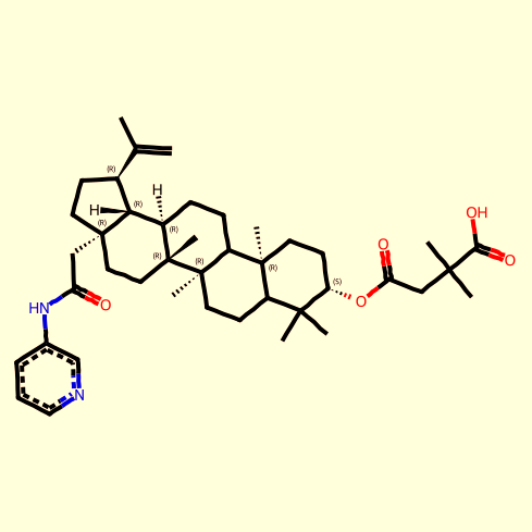 C=C(C)[C@@H]1CC[C@]2(CC(=O)Nc3cccnc3)CC[C@]3(C)[C@H](CCC4[C@@]5(C)CC[C@H](OC(=O)CC(C)(C)C(=O)O)C(C)(C)C5CC[C@]43C)[C@@H]12